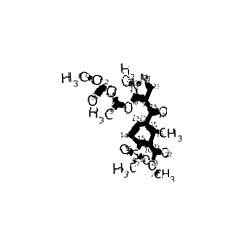 COC(=O)OC(C)Oc1c(C(=O)c2ccc(S(C)(=O)=O)c(C(=O)OC)c2C)cnn1C